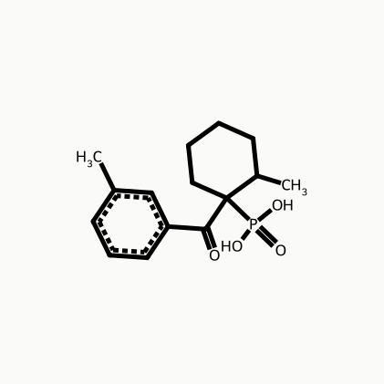 Cc1cccc(C(=O)C2(P(=O)(O)O)CCCCC2C)c1